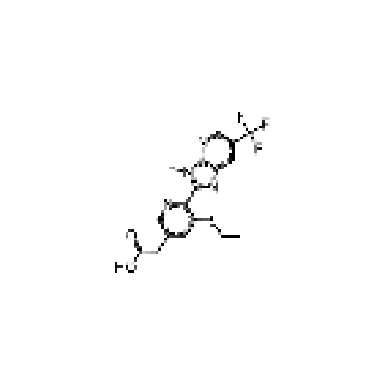 CCSc1cc(CC(=O)O)cnc1-c1nc2cc(C(F)(F)F)cnc2n1C